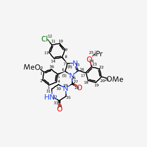 COc1cccc([C@H]2[C@@H](c3ccc(Cl)cc3)N=C(c3ccc(OC)cc3OC(C)C)N2C(=O)N2CCNC(=O)C2)c1